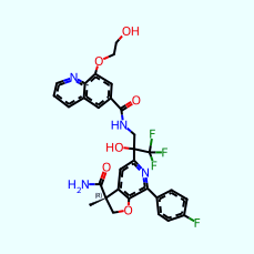 C[C@]1(C(N)=O)COc2c1cc(C(O)(CNC(=O)c1cc(OCCO)c3ncccc3c1)C(F)(F)F)nc2-c1ccc(F)cc1